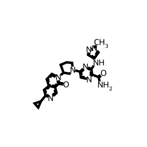 Cn1cc(Nc2nc(N3CCCC(n4ccc5cc(C6CC6)ncc5c4=O)C3)cnc2C(N)=O)cn1